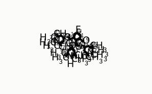 CN1C(C)(C)CC(OC(=O)c2cc(F)cc(C(=O)OC3CC(C)(C)N(C)C(C)(C)C3)c2C(=O)OC2CC(C)(C)NC(C)(C)C2)CC1(C)C